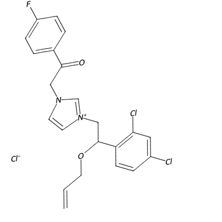 C=CCOC(C[n+]1ccn(CC(=O)c2ccc(F)cc2)c1)c1ccc(Cl)cc1Cl.[Cl-]